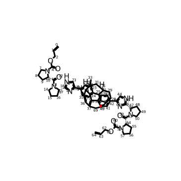 C=CCOC(=O)N1CCC[C@H]1C(=O)N1CCC[C@H]1c1nc(-c2ccc(C3=CC4=CC[C@@H]3C[C@@H](C)[C@@H]3C=CC(=C(c5ccc(-c6c[nH]c([C@@H]7CCCN7C(=O)[C@@H]7CCCN7C(=O)OCC=C)n6)cc5)C3)CC4)cc2)c[nH]1